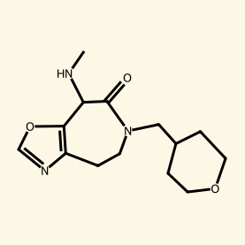 CNC1C(=O)N(CC2CCOCC2)CCc2ncoc21